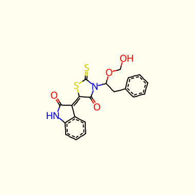 O=C1Nc2ccccc2/C1=C1/SC(=S)N(C(Cc2ccccc2)OCO)C1=O